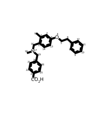 Cc1cc(OCCc2ccccc2)ccc1CN(C)Cc1ccc(C(=O)O)cc1